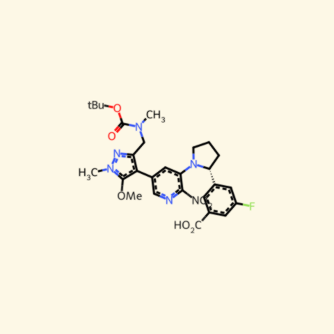 COc1c(-c2cnc([N+](=O)[O-])c(N3CCC[C@@H]3c3cc(F)cc(C(=O)O)c3)c2)c(CN(C)C(=O)OC(C)(C)C)nn1C